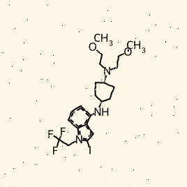 COCCN(CCOC)[C@H]1CC[C@@H](Nc2cccc3c2cc(I)n3CC(F)(F)F)CC1